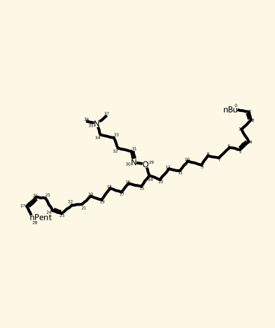 CCCC/C=C\C/C=C\CCCCCCCCC(CCCCCCCC/C=C\C/C=C\CCCCC)ON=CCCCN(C)C